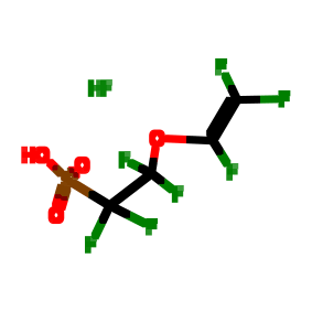 F.O=S(=O)(O)C(F)(F)C(F)(F)OC(F)=C(F)F